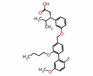 CCCCOc1cc(COc2cccc([C@H](CC(=O)O)C(C)C)c2)ccc1-c1cc(OC)ccc1F